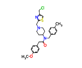 COc1ccc(CC(=O)N(Cc2ccc(C)cc2)C2CCN(Cc3nc(CCl)cs3)CC2)cc1